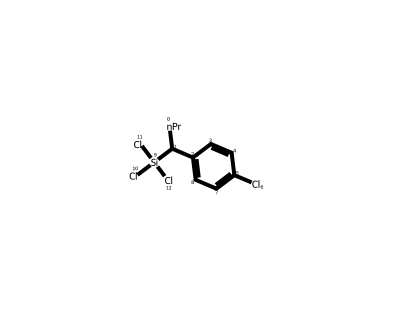 CCCC(c1ccc(Cl)cc1)[Si](Cl)(Cl)Cl